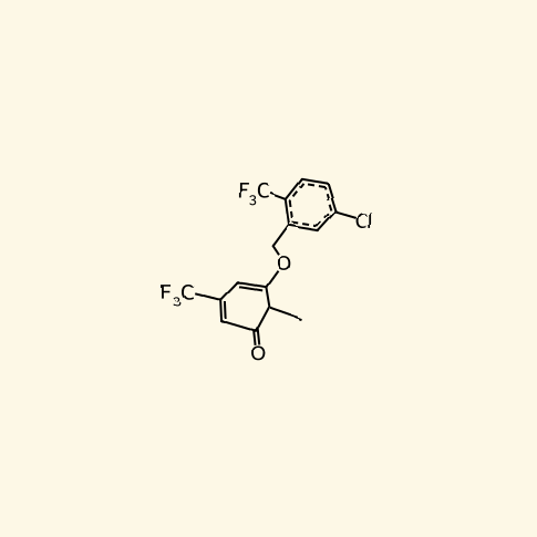 CC1C(=O)C=C(C(F)(F)F)C=C1OCc1cc(Cl)ccc1C(F)(F)F